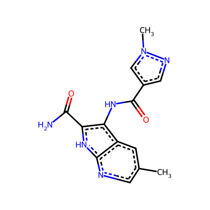 Cc1cnc2[nH]c(C(N)=O)c(NC(=O)c3cnn(C)c3)c2c1